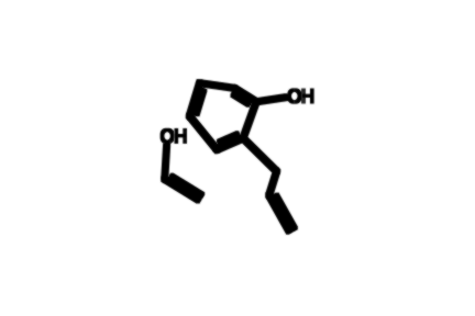 C=CCc1ccccc1O.C=CO